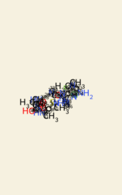 Cc1ncsc1-c1ccc([C@H](C)NC(=O)[C@@H]2C[C@@H](O)CN2C(=O)[C@@H](NC(=O)CCCCN2CCC[C@@]2(C)COc2nc(N3CC4CCC(C3)N4)c3cc(Cl)c(-c4c(C)n(C)c5ccc(N)c(C#N)c45)c(F)c3n2)C(C)(C)C)cc1